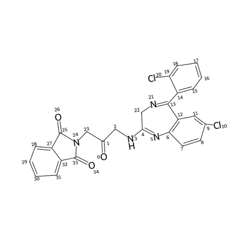 O=C(CNC1=Nc2ccc(Cl)cc2C(c2ccccc2Cl)=NC1)CN1C(=O)c2ccccc2C1=O